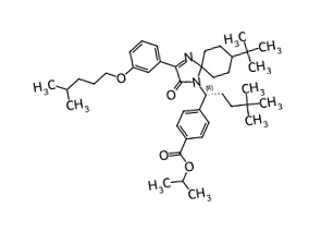 CC(C)CCCOc1cccc(C2=NC3(CCC(C(C)(C)C)CC3)N([C@H](CCC(C)(C)C)c3ccc(C(=O)OC(C)C)cc3)C2=O)c1